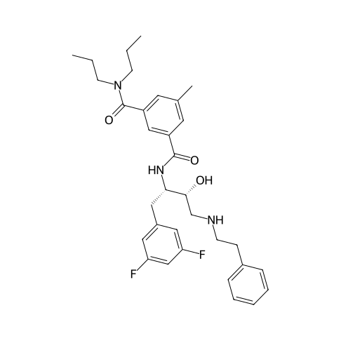 CCCN(CCC)C(=O)c1cc(C)cc(C(=O)N[C@@H](Cc2cc(F)cc(F)c2)[C@H](O)CNCCc2ccccc2)c1